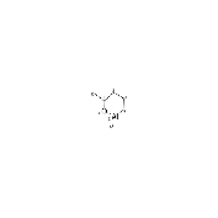 CC1CC[CH2][Al]([CH3])[O]1